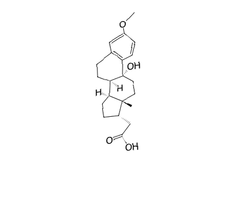 COc1ccc2c(c1)CC[C@@H]1[C@@H]3CC[C@@H](CC(=O)O)[C@@]3(C)CC[C@]21O